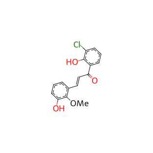 COc1c(O)cccc1C=CC(=O)c1cccc(Cl)c1O